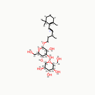 CC1=C(/C=C/C(C)CCO[C@H]2O[C@H](CO)[C@@H](O[C@@H]3O[C@H](CO)[C@@H](O)[C@H](O)[C@H]3O)[C@H](O)[C@H]2O)C(C)(C)CCC1